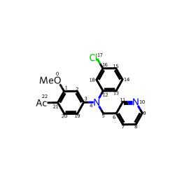 COc1cc(N(Cc2cccnc2)c2cccc(Cl)c2)ccc1C(C)=O